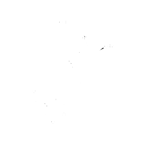 CC(=O)O[C@H]1CCC2C3Cc4ccc(O)c5c4C2(CCN3CCCC(=O)ON2C(=O)CCC2=O)[C@H]1O5